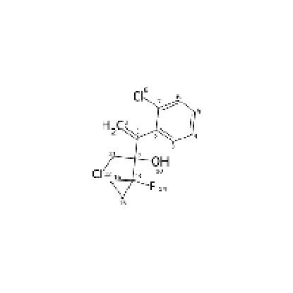 C=C(c1ccccc1Cl)C(O)(CCl)C1(F)CC1